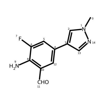 Cn1cc(-c2cc(F)c(N)c(C=O)c2)cn1